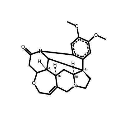 COc1cc2c(cc1OC)[C@@]13CCN4CC5=CCOC6CC(=O)N2C1[C@H]6[C@H]5C[C@H]43